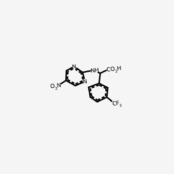 O=C(O)C(Nc1ncc([N+](=O)[O-])cn1)c1cccc(C(F)(F)F)c1